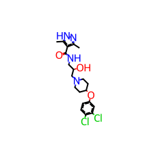 Cc1n[nH]c(C)c1C(=O)NC[C@@H](O)CN1CCC(Oc2ccc(Cl)c(Cl)c2)CC1